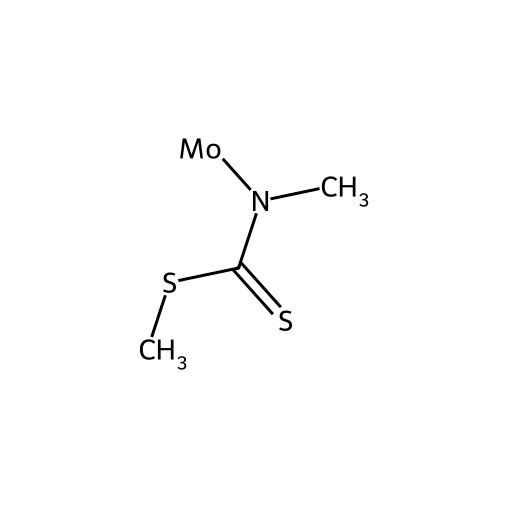 CSC(=S)[N](C)[Mo]